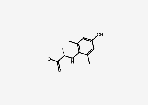 Cc1cc(O)cc(C)c1N[C@@H](C)C(=O)O